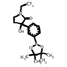 CC1(C)OB(c2cccc(C3(O)CCN(CC(F)(F)F)C3=O)c2)OC1(C)C